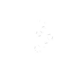 COC(=O)COc1cccc(C=CC(=O)c2c(OCc3ccccc3)cc(C)n(C)c2=O)c1